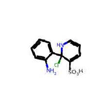 Nc1ccccc1C1(Cl)NC=CC=C1S(=O)(=O)O